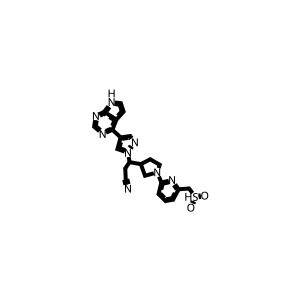 N#CCC(C1CCN(c2cccc(C[SH](=O)=O)n2)C1)n1cc(-c2ncnc3[nH]ccc23)cn1